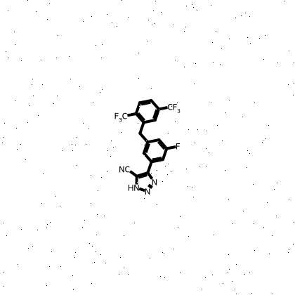 N#Cc1[nH]nnc1-c1cc(F)cc(Cc2cc(C(F)(F)F)ccc2C(F)(F)F)c1